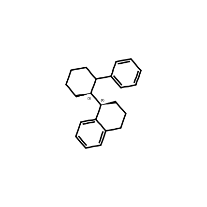 c1ccc([C]2CCCC[C@@H]2[C@H]2CCCc3ccccc32)cc1